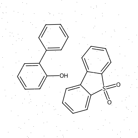 O=S1(=O)c2ccccc2-c2ccccc21.Oc1ccccc1-c1ccccc1